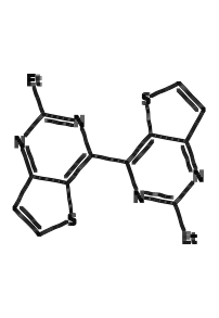 CCc1nc(-c2nc(CC)nc3ccsc23)c2sccc2n1